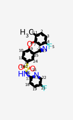 Cc1ccc(F)cc1Oc1ccc(S(=O)(=O)Nc2ccc(F)cn2)cc1C#N